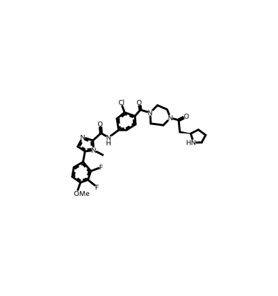 COc1ccc(-c2cnc(C(=O)Nc3ccc(C(=O)N4CCN(C(=O)C[C@H]5CCCN5)CC4)c(Cl)c3)n2C)c(F)c1F